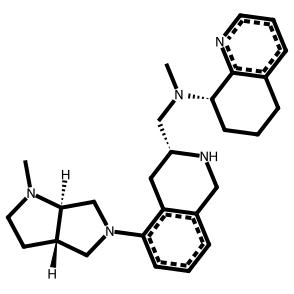 CN(C[C@H]1Cc2c(cccc2N2C[C@@H]3CCN(C)[C@H]3C2)CN1)[C@H]1CCCc2cccnc21